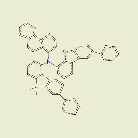 CC1(C)c2cc(-c3ccccc3)ccc2-c2c(N(c3cccc4c3ccc3ccccc34)c3cccc4c3sc3ccc(-c5ccccc5)cc34)cccc21